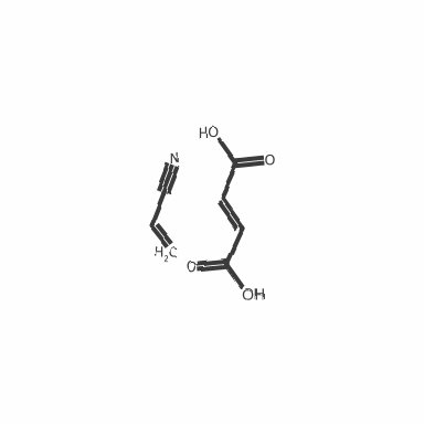 C=CC#N.O=C(O)C=CC(=O)O